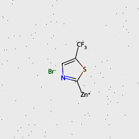 FC(F)(F)c1cn[c]([Zn+])s1.[Br-]